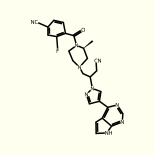 C[C@H]1CN(CC(CC#N)n2cc(-c3ncnc4[nH]ccc34)cn2)CCN1C(=O)c1ccc(C#N)cc1F